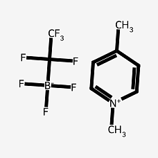 Cc1cc[n+](C)cc1.F[B-](F)(F)C(F)(F)C(F)(F)F